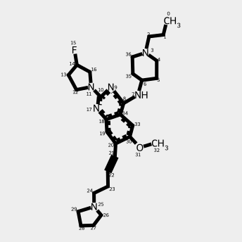 CCCN1CCC(Nc2nc(N3CCC(F)C3)nc3cc(C#CCCN4CCCC4)c(OC)cc23)CC1